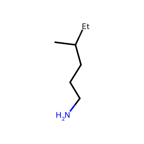 [CH2]CC(C)CCCN